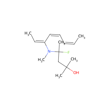 C\C=C/C=C\C(=C/C)N(C)C(C)(F)CC(C)(C)O